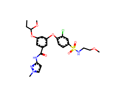 CCC(OC)Oc1cc(Oc2ccc(S(=O)(=O)NCCOC)cc2Cl)cc(C(=O)Nc2ccn(C)n2)c1